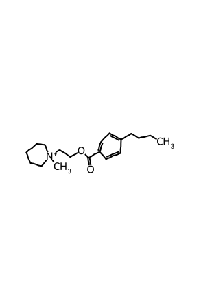 CCCCc1ccc(C(=O)OCC[N+]2(C)CCCCC2)cc1